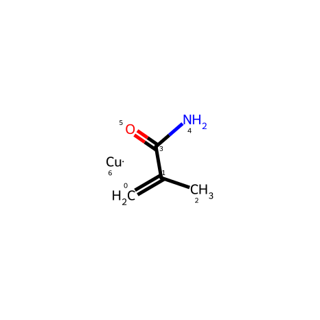 C=C(C)C(N)=O.[Cu]